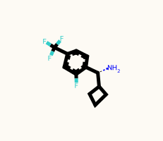 N[C@@H](c1ccc(C(F)(F)F)cc1F)C1CCC1